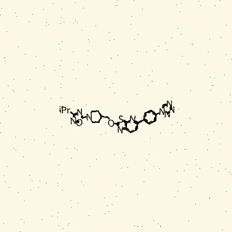 CC(C)c1noc(N2CCC(COc3nc4ccc(-c5ccc(-n6cnnn6)cc5)nc4s3)CC2)n1